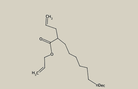 C=CCOC(=O)C(CC=C)CCCCCCCCCCCCCCCC